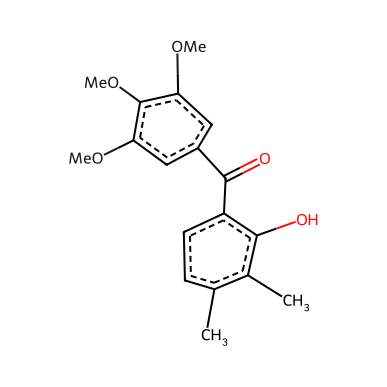 COc1cc(C(=O)c2ccc(C)c(C)c2O)cc(OC)c1OC